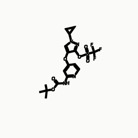 CC(C)(C)OC(=O)Nc1cc(Oc2cn(C3CC3)nc2OS(=O)(=O)C(F)(F)F)ccn1